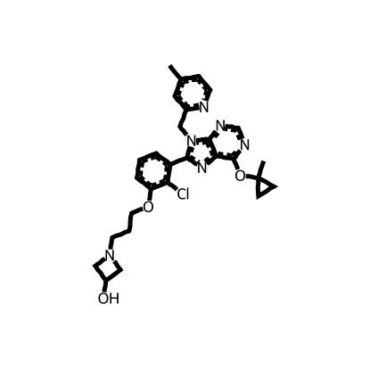 Cc1ccnc(Cn2c(-c3cccc(OCCCN4CC(O)C4)c3Cl)nc3c(OC4(C)CC4)ncnc32)c1